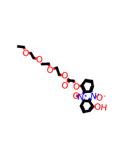 CCOCCOCCOCCOC(=O)COc1cccc2c1[n+]([O-])c1cccc(O)c1[n+]2[O-]